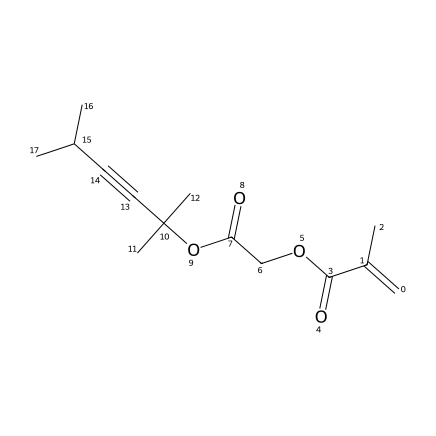 C=C(C)C(=O)OCC(=O)OC(C)(C)C#CC(C)C